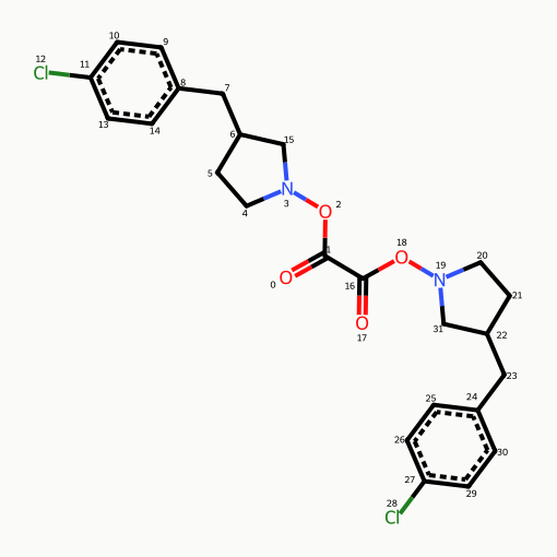 O=C(ON1CCC(Cc2ccc(Cl)cc2)C1)C(=O)ON1CCC(Cc2ccc(Cl)cc2)C1